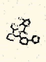 C=CC(I)N1CCCC[C@H]1[C@@H](NC(=O)c1nccc(C(F)(F)F)c1Cl)c1cccc(-c2cccnc2)c1